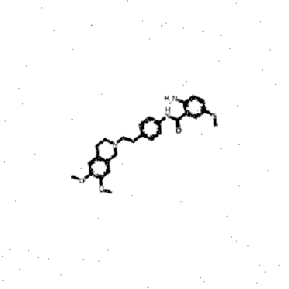 COc1cc2c(cc1OC)CN(CCc1ccc(NC(=O)c3cc(SC)ccc3N)cc1)CC2